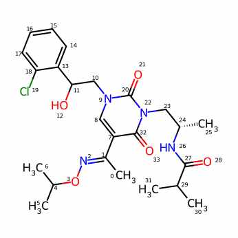 C/C(=N\OC(C)C)c1cn(CC(O)c2ccccc2Cl)c(=O)n(C[C@H](C)NC(=O)C(C)C)c1=O